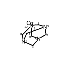 C1N2CN3CN1CN(C2)C3.[Co]